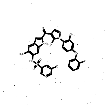 Cc1cc2cc(C(=O)c3cnn(-c4ccc(Oc5ccccc5F)cc4C)c3N)[nH]c2cc1NS(=O)(=O)c1cncc(Cl)c1